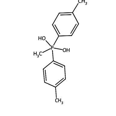 Cc1ccc(P(C)(O)(O)c2ccc(C)cc2)cc1